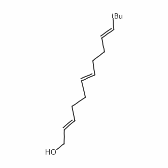 CC(C)(C)C=CCCC=CCCC=CCO